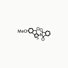 COc1ccc2c(c1)-c1csc(N3C(=O)c4ccccc4C3=O)c1C2=O